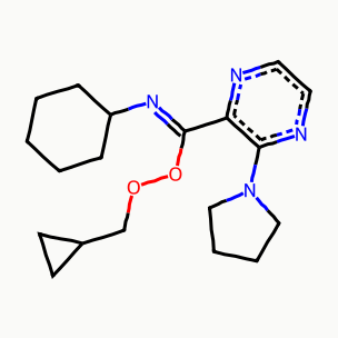 c1cnc(N2CCCC2)c(C(=NC2CCCCC2)OOCC2CC2)n1